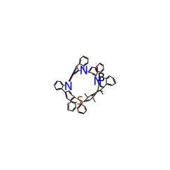 CC1C=C2C(C)C3=C1C(C)C1=C(c4ccccc4B(c4ccccc4)N1c1cccc(c1)-n1c4ccccc4c4cc(ccc41)-n1c4ccccc4c4ccc(cc41)S2(c1ccccc1)c1ccccc1)C3C